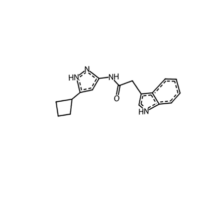 O=C(Cc1c[nH]c2ccccc12)Nc1cc(C2CCC2)[nH]n1